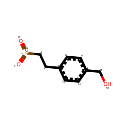 O=[SH](=O)CCc1ccc(CO)cc1